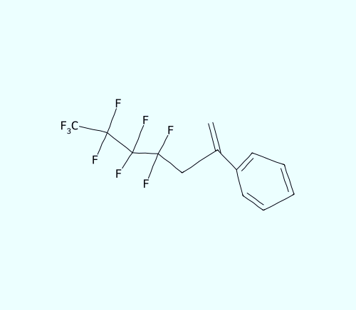 C=C(CC(F)(F)C(F)(F)C(F)(F)C(F)(F)F)c1ccccc1